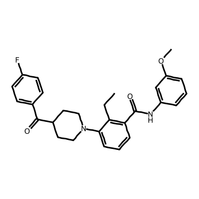 CCc1c(C(=O)Nc2cccc(OC)c2)cccc1N1CCC(C(=O)c2ccc(F)cc2)CC1